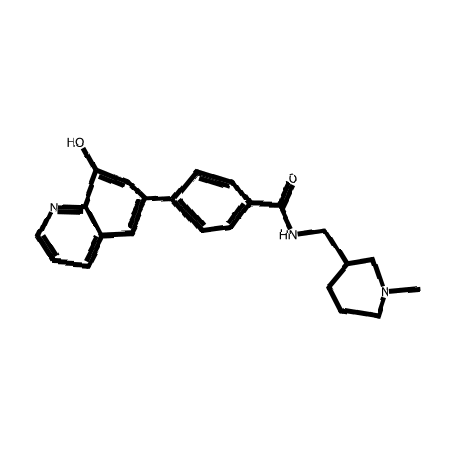 CN1CCCC(CNC(=O)c2ccc(-c3cc(O)c4ncccc4c3)cc2)C1